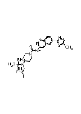 BC(B)(B)N(CC(F)F)C1CCN(C(=O)Nc2cc3cc(-c4nnc(C)s4)ccc3nn2)CC1